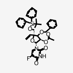 C=C[C@]1(CO[Si](c2ccccc2)(c2ccccc2)C(C)(C)C)O[C@@H](n2cc(F)c(=O)[nH]c2=O)[C@H](OC(C)=O)C1OCc1ccccc1